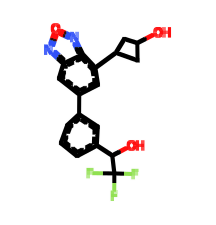 OC1CC(c2cc(-c3cccc(C(O)C(F)(F)F)c3)cc3nonc23)C1